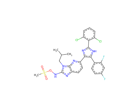 CC(C)Cn1c(NOS(C)(=O)=O)nc2ccc(-c3nc(-c4c(Cl)cccc4Cl)[nH]c3-c3ccc(F)cc3F)nc21